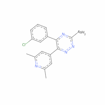 Cc1cc(-c2nnc([AsH2])nc2-c2cccc(Cl)c2)cc(C)n1